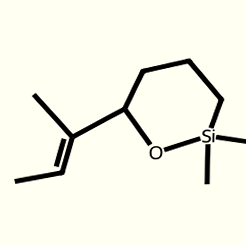 CC=C(C)C1CCC[Si](C)(C)O1